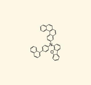 c1ccc2c(-c3ccc(N(c4ccc5c(ccc6ccc7ccccc7c65)c4)c4cccc5c4oc4ccccc45)cc3)cccc2c1